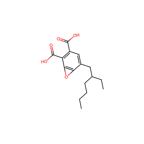 CCCCC(CC)Cc1cc(C(=O)O)c(C(=O)O)c2c1O2